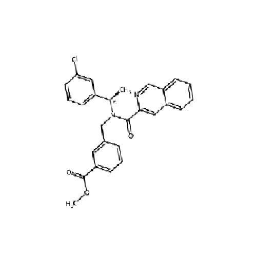 COC(=O)c1cccc(CN(C(=O)c2cc3ccccc3cn2)[C@H](C)c2cccc(Cl)c2)c1